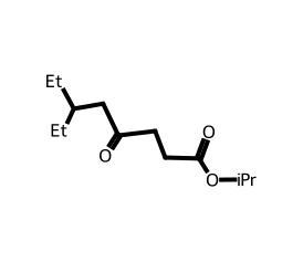 [CH2]C([CH2])OC(=O)CCC(=O)CC(CC)CC